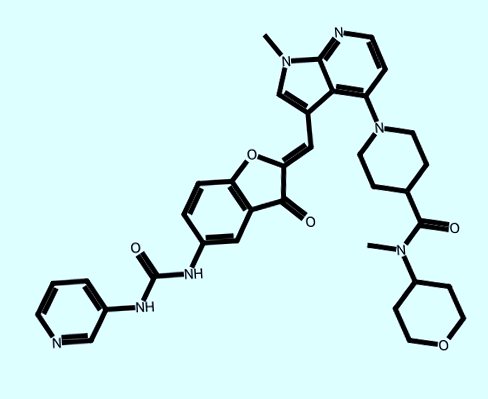 CN(C(=O)C1CCN(c2ccnc3c2c(C=C2Oc4ccc(NC(=O)Nc5cccnc5)cc4C2=O)cn3C)CC1)C1CCOCC1